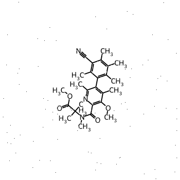 COC(=O)C(C)(C)N(C)C(=O)c1nc(C)c(-c2c(C)c(C)c(C)c(C#N)c2C)c(C)c1OC